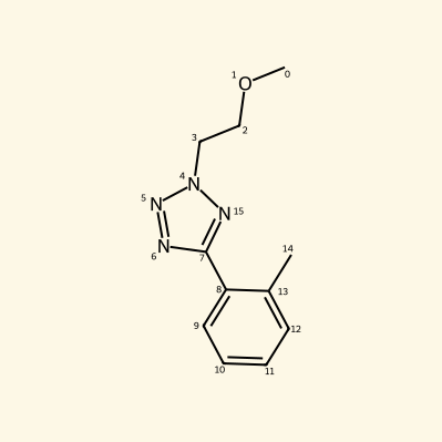 COCCn1nnc(-c2ccccc2C)n1